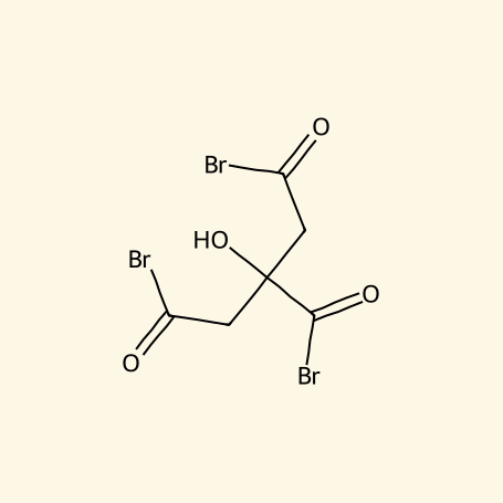 O=C(Br)CC(O)(CC(=O)Br)C(=O)Br